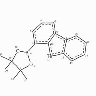 CC1(C)OB(c2cccc3c2[te]c2ccccc23)OC1(C)C